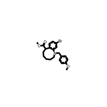 COC(=O)C1CCCCCN(Cc2ccc(OC)cc2)c2cc(Br)ccc21